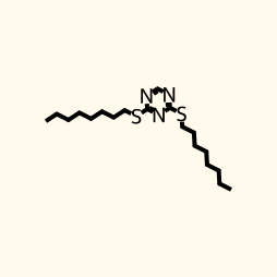 CCCCCCCCSc1ncnc(SCCCCCCCC)n1